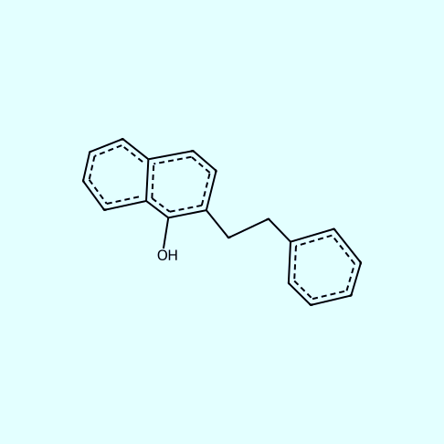 Oc1c(CCc2ccccc2)ccc2ccccc12